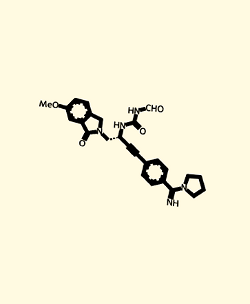 COc1ccc2c(c1)C(=O)N(C[C@@H](C#Cc1ccc(C(=N)N3CCCC3)cc1)NC(=O)NC=O)C2